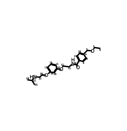 CCOCc1ccc(C(=O)NCCOc2cccc(OCCNC(C)C)c2)cc1